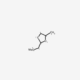 COCC1OC(C)CS1